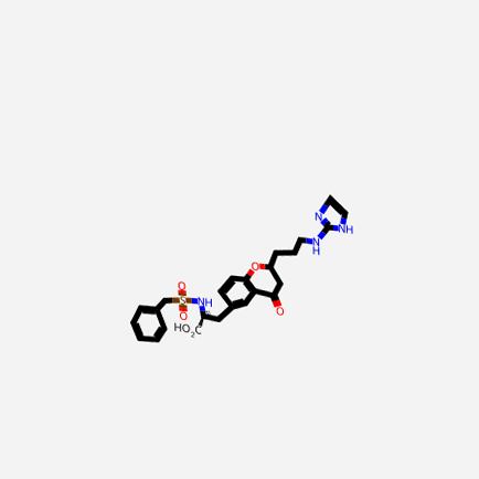 O=C1CC(CCCNc2ncc[nH]2)Oc2ccc(C[C@H](NS(=O)(=O)Cc3ccccc3)C(=O)O)cc21